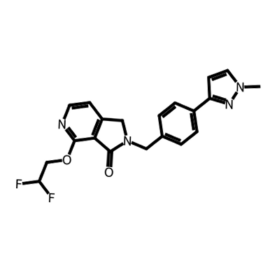 Cn1ccc(-c2ccc(CN3Cc4ccnc(OCC(F)F)c4C3=O)cc2)n1